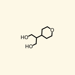 OCC(CO)C1CCOCC1